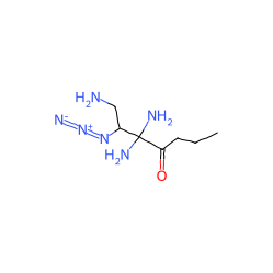 CCCC(=O)C(N)(N)C(CN)N=[N+]=[N-]